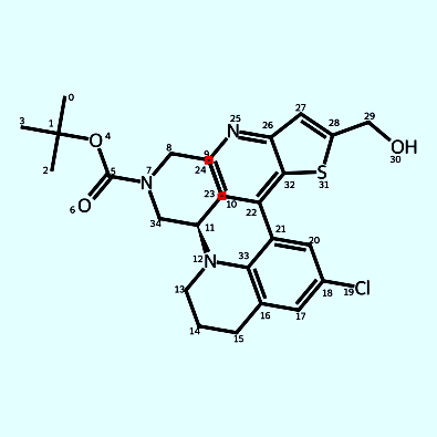 CC(C)(C)OC(=O)N1CCC[C@@H](N2CCCc3cc(Cl)cc(-c4ccnc5cc(CO)sc45)c32)C1